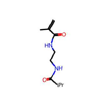 C=C(C)C(=O)NCCNC(=O)C(C)C